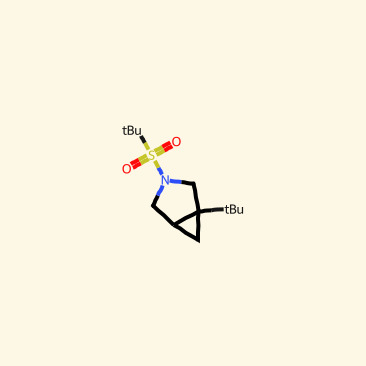 CC(C)(C)C12CC1CN(S(=O)(=O)C(C)(C)C)C2